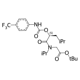 CC(C)C[C@H](OC(=O)Nc1ccc(C(F)(F)F)cc1)C(=O)N(CC(=O)OC(C)(C)C)C(C)C